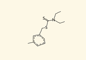 CCN(CC)C(=S)SCc1cccc(C)c1